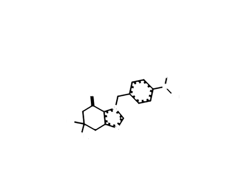 C[S+]([O-])c1ccc(Cn2cnc3c2C(=O)CC(C)(C)C3)cc1